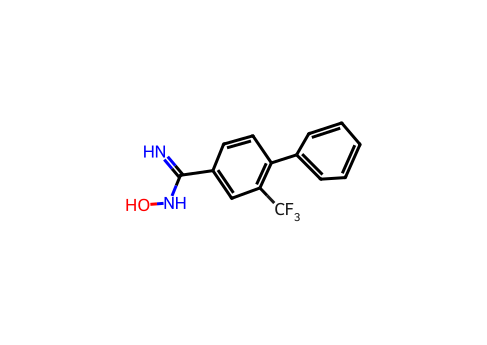 N=C(NO)c1ccc(-c2ccccc2)c(C(F)(F)F)c1